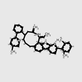 C=C1CC2c3ccccc3-c3ccc(C)c[n+]3C2CCc2ccc3c(oc4nc(-c5c(C)cccc5C)ccc43)c2/C(=C/C)N1